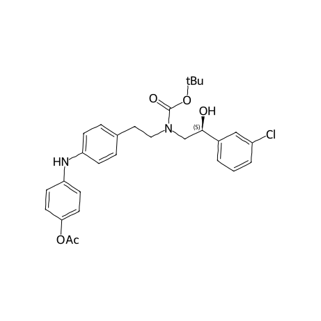 CC(=O)Oc1ccc(Nc2ccc(CCN(C[C@@H](O)c3cccc(Cl)c3)C(=O)OC(C)(C)C)cc2)cc1